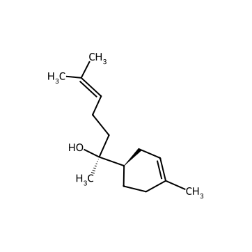 CC(C)=CCC[C@](C)(O)[C@H]1CC=C(C)CC1